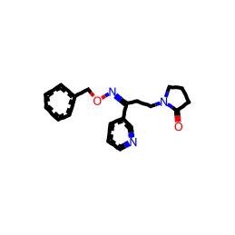 O=C1CCCN1CCC(=NOCc1ccccc1)c1cccnc1